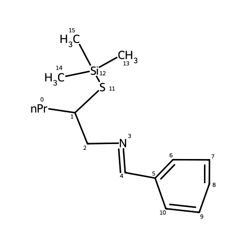 CCCC(C/N=C/c1ccccc1)S[Si](C)(C)C